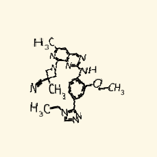 CCOc1cc(-c2nncn2CC)ccc1Nc1ncc2cc(C)nc(N3CC(C)(C#N)C3)c2n1